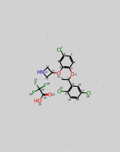 CC(Oc1ccc(Cl)cc1OC1CNC1)c1cc(Cl)ccc1Cl.O=C(O)C(F)(F)F